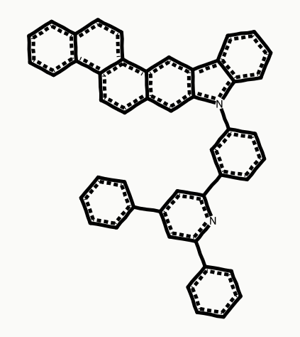 c1ccc(-c2cc(-c3ccccc3)nc(-c3cccc(-n4c5ccccc5c5cc6c(ccc7c8ccccc8ccc67)cc54)c3)c2)cc1